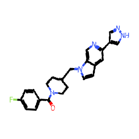 O=C(c1ccc(F)cc1)N1CCC(Cn2ccc3cc(-c4cn[nH]c4)ncc32)CC1